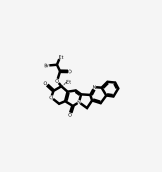 CCC(Br)C(=O)O[C@]1(CC)C(=O)OCc2c1cc1n(c2=O)Cc2cc3ccccc3nc2-1